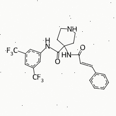 O=C(C=Cc1ccccc1)NC1(C(=O)Nc2cc(C(F)(F)F)cc(C(F)(F)F)c2)CCNCC1